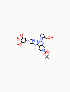 COc1cc(-n2cnc(Nc3nc(N4CCC[C@H]4CO)nc4c3CCN(C(=O)OC(C)(C)C)C4)c2)cc(OC)c1OC